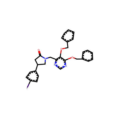 O=C1CC(c2ccc(I)cc2)CN1Cc1ncnc(OCc2ccccc2)c1OCc1ccccc1